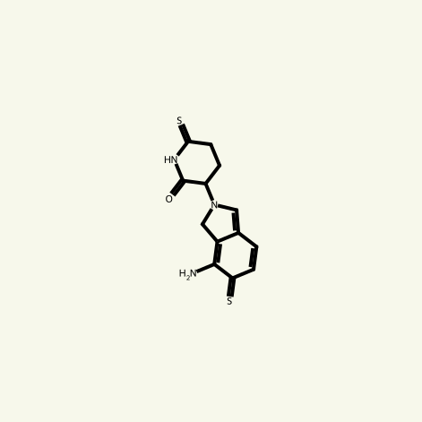 NC1=C2CN(C3CCC(=S)NC3=O)C=C2C=CC1=S